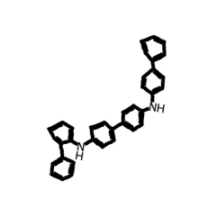 c1ccc(-c2ccc(Nc3ccc(-c4ccc(Nc5ccccc5-c5ccccc5)cc4)cc3)cc2)cc1